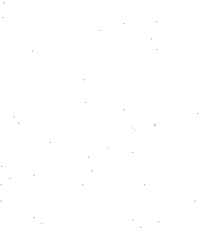 CCc1nc2c(n1C(C)C)C(=O)C(=O)c1ccccc1-2